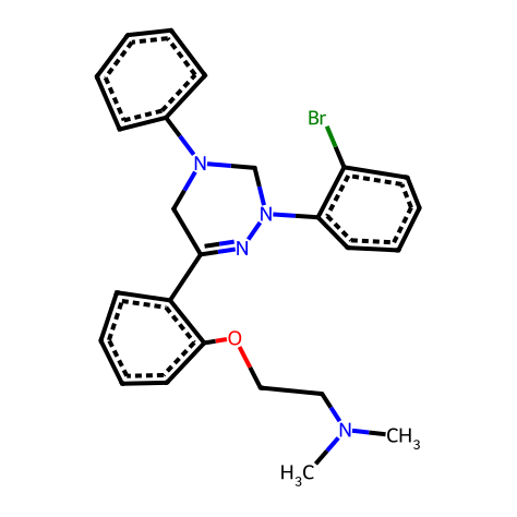 CN(C)CCOc1ccccc1C1=NN(c2ccccc2Br)CN(c2ccccc2)C1